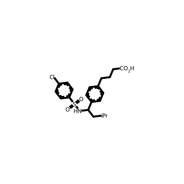 CC(C)CC(NS(=O)(=O)c1ccc(Cl)cc1)c1ccc(CCCC(=O)O)cc1